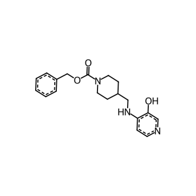 O=C(OCc1ccccc1)N1CCC(CNc2ccncc2O)CC1